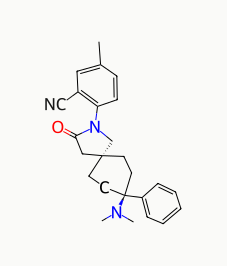 Cc1ccc(N2C[C@]3(CC[C@](c4ccccc4)(N(C)C)CC3)CC2=O)c(C#N)c1